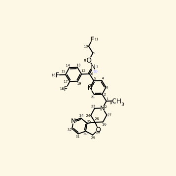 CC(c1ccc(/C(=N/OCCF)c2ccc(F)c(F)c2)nc1)N1CCC2(CC1)OCc1ccncc12